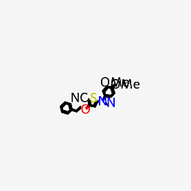 COc1cc2ncn(-c3cc(OCCc4ccccc4)c(C#N)s3)c2cc1OC